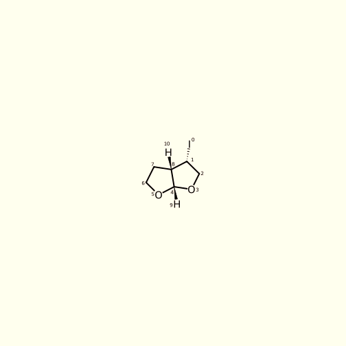 I[C@@H]1CO[C@@H]2OCC[C@@H]21